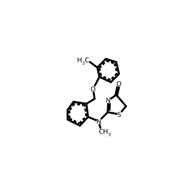 Cc1ccccc1OCc1ccccc1N(C)C1=NC(=O)CS1